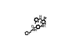 Cc1cccc(Nc2nc(Nc3ccc(C(=O)NCCN4CCCC4)cc3)ncc2Br)n1